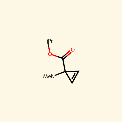 CNC1(C(=O)OC(C)C)C=C1